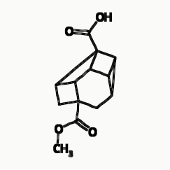 COC(=O)C12CC3C4C3C3(C(=O)O)C(C1)C2C43